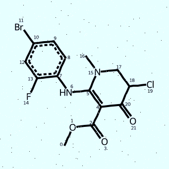 COC(=O)C1=C(Nc2ccc(Br)cc2F)N(C)CC(Cl)C1=O